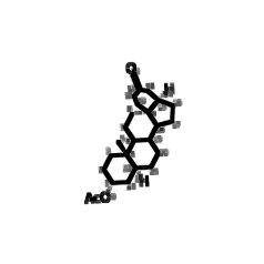 CC(=O)O[C@@H]1CC[C@]2(C)C3CC[C@]45CCC(=O)C[C@H]4CCC5C3CC[C@H]2C1